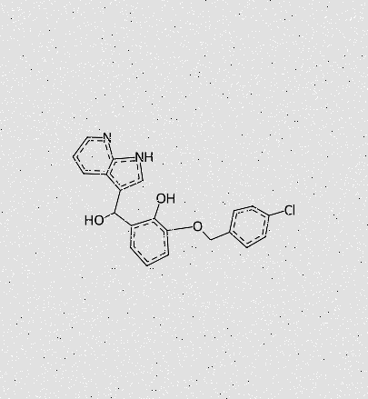 Oc1c(OCc2ccc(Cl)cc2)cccc1C(O)c1c[nH]c2ncccc12